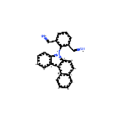 N=Cc1cccc(C=N)c1-n1c2ccccc2c2c3ccccc3ccc21